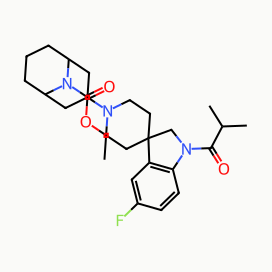 CCOC(=O)N1C2CCCC1CC(N1CCC3(CC1)CN(C(=O)C(C)C)c1ccc(F)cc13)C2